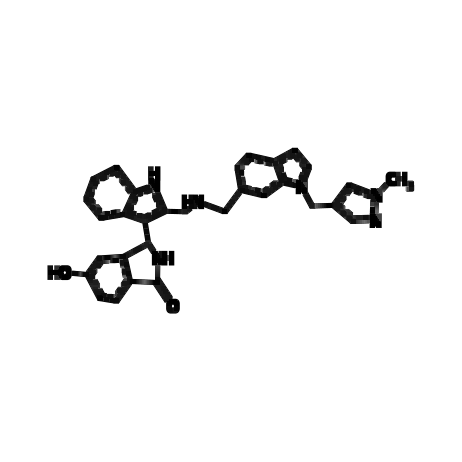 Cn1cc(Cn2ccc3ccc(CNCc4[nH]c5ccccc5c4C4NC(=O)c5ccc(O)cc54)cc32)cn1